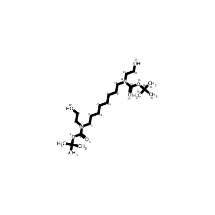 CC(C)(C)OC(=O)N(CCO)CCCCCCCCN(CCO)C(=O)OC(C)(C)C